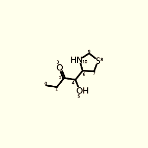 CCC(=O)C(O)C1CSCN1